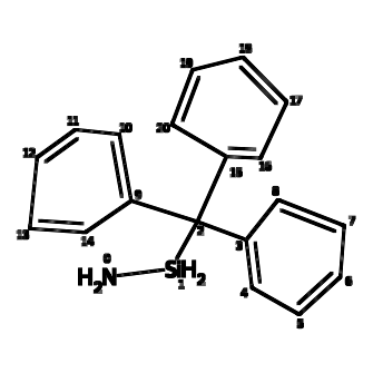 N[SiH2]C(c1ccccc1)(c1ccccc1)c1ccccc1